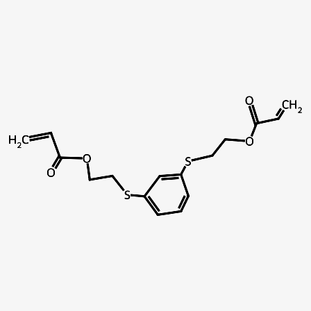 C=CC(=O)OCCSc1cccc(SCCOC(=O)C=C)c1